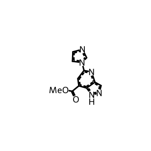 COC(=O)c1cc(-n2ccnc2)nc2cn[nH]c12